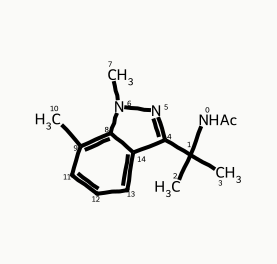 CC(=O)NC(C)(C)c1nn(C)c2c(C)cccc12